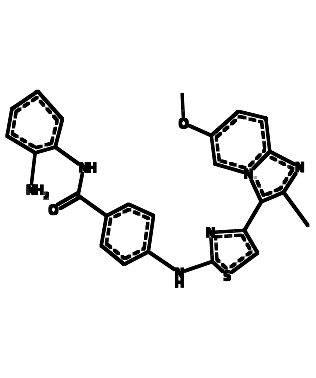 COc1ccc2nc(C)c(-c3csc(Nc4ccc(C(=O)Nc5ccccc5N)cc4)n3)n2c1